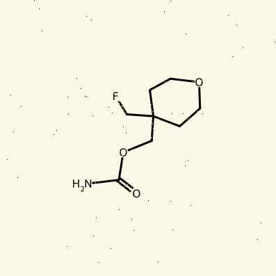 NC(=O)OCC1(CF)CCOCC1